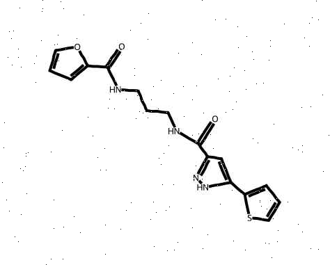 O=C(NCCCNC(=O)c1ccco1)c1cc(-c2cccs2)[nH]n1